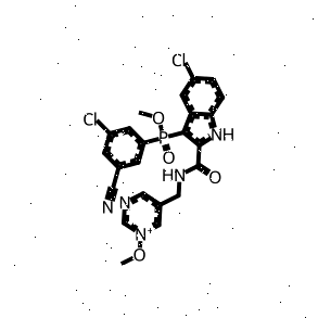 CO[n+]1cncc(CNC(=O)c2[nH]c3ccc(Cl)cc3c2P(=O)(OC)c2cc(Cl)cc(C#N)c2)c1